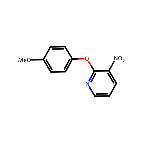 COc1ccc(Oc2ncccc2[N+](=O)[O-])cc1